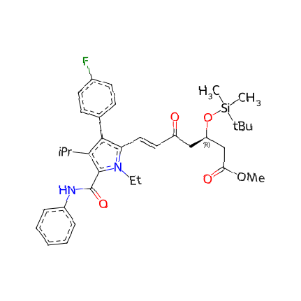 CCn1c(C=CC(=O)C[C@H](CC(=O)OC)O[Si](C)(C)C(C)(C)C)c(-c2ccc(F)cc2)c(C(C)C)c1C(=O)Nc1ccccc1